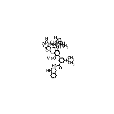 COc1c(CN2O[C@@H](CO)[C@H]([C@H](C)O)[C@H]2C(=O)N[C@H]2C[C@H]3C[C@@H]([C@@H]2C)C3(C)C)cccc1-c1cc(C(=O)NC2CNc3ccccc3C2)cc(N(C)C)c1